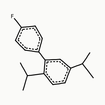 CC(C)c1ccc(C(C)C)c(-c2ccc(F)cc2)c1